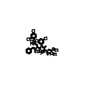 CCOC(CN(C(=O)C(C)N(C(=O)C(CNS(=O)(=O)c1ccc(Cl)cc1Cl)N(Cc1ccccc1)C(=O)O)c1cccc(Cl)c1)C(C)C)OCC